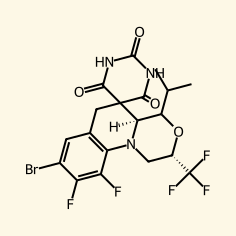 CC(C)C1O[C@H](C(F)(F)F)CN2c3c(cc(Br)c(F)c3F)CC3(C(=O)NC(=O)NC3=O)[C@@H]12